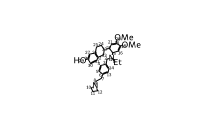 CCN(Cc1ccc(CCN2CCC2)cc1)C1C=C(OC)C(OC)=CC1[C@@H]1CCc2cc(O)ccc2C1